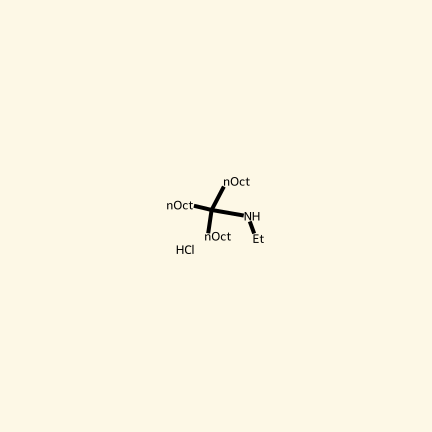 CCCCCCCCC(CCCCCCCC)(CCCCCCCC)NCC.Cl